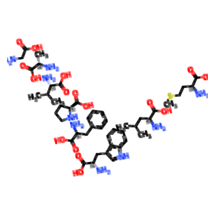 CC(C)C[C@H](N)C(=O)O.CC(C)[C@H](N)C(=O)O.CSCC[C@H](N)C(=O)O.C[C@H](N)C(=O)O.NCC(=O)O.N[C@@H](Cc1c[nH]c2ccccc12)C(=O)O.N[C@@H](Cc1ccccc1)C(=O)O.O=C(O)[C@@H]1CCCN1